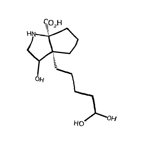 O=C(O)[C@]12CCC[C@@]1(CCCCC(O)O)C(O)CN2